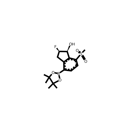 CC1(C)OB(c2ccc(S(C)(=O)=O)c3c2C[C@@H](F)[C@H]3O)OC1(C)C